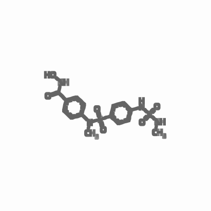 CNS(=O)(=O)Nc1ccc(S(=O)(=O)N(C)c2ccc(C(=O)NO)cc2)cc1